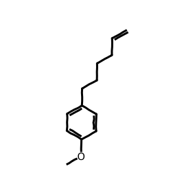 C=CCCCCc1ccc(OC)cc1